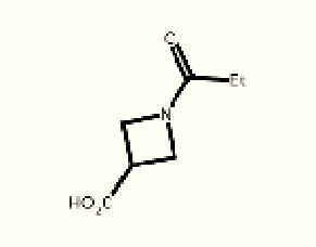 CCC(=O)N1CC(C(=O)O)C1